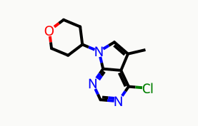 Cc1cn(C2CCOCC2)c2ncnc(Cl)c12